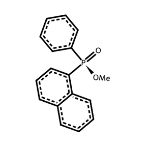 CO[P@](=O)(c1ccccc1)c1cccc2ccccc12